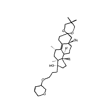 C[C@H]1C[C@@]2(C)[C@@H](CC[C@@]2(O)CCCOC2CCCOC2)[C@@H]2CC[C@@]3(O)CC4(CCC3=C21)OCC(C)(C)CO4